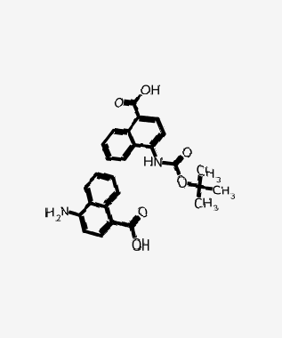 CC(C)(C)OC(=O)Nc1ccc(C(=O)O)c2ccccc12.Nc1ccc(C(=O)O)c2ccccc12